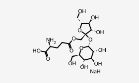 N[C@@H](CCC(=O)OC[C@@]1(O[C@H]2O[C@H](CO)[C@@H](O)[C@H](O)[C@H]2O)O[C@H](CO)[C@@H](O)[C@@H]1O)C(=O)O.[NaH]